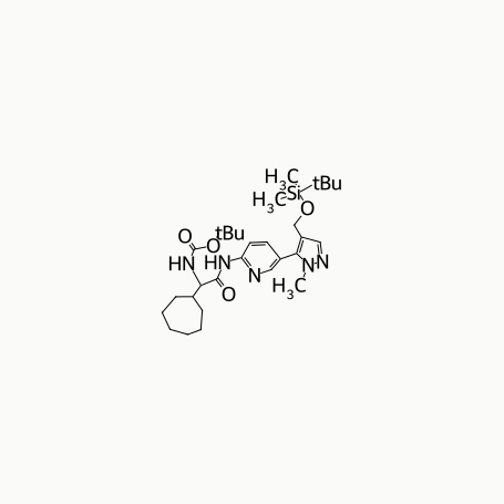 Cn1ncc(CO[Si](C)(C)C(C)(C)C)c1-c1ccc(NC(=O)C(NC(=O)OC(C)(C)C)C2CCCCCC2)nc1